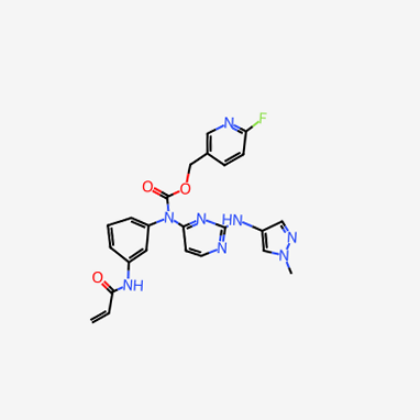 C=CC(=O)Nc1cccc(N(C(=O)OCc2ccc(F)nc2)c2ccnc(Nc3cnn(C)c3)n2)c1